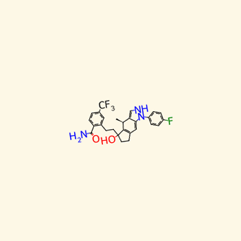 C[C@H]1C2=CNN(c3ccc(F)cc3)C2=CC2=C1C(O)(CCc1cc(C(F)(F)F)ccc1C(N)=O)CC2